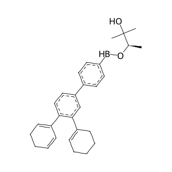 C[C@@H](OBc1ccc(-c2ccc(C3=CCCC=C3)c(C3=CCCCC3)c2)cc1)C(C)(C)O